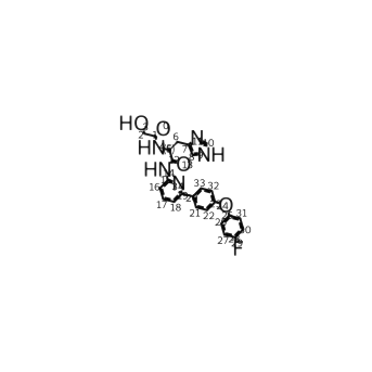 O=C(CO)N[C@@H](Cc1c[nH]cn1)C(=O)Nc1cccc(-c2ccc(Oc3ccc(F)cc3)cc2)n1